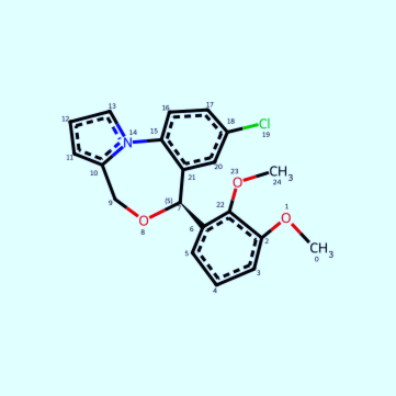 COc1cccc([C@H]2OCc3cccn3-c3ccc(Cl)cc32)c1OC